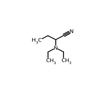 CCC(C#N)N(CC)CC